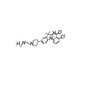 CC1(C)c2cc(C3CCN(CCN)CC3)ccc2-n2c1nc(=O)c1c(Cl)cccc12